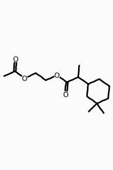 CC(=O)OCCOC(=O)C(C)C1CCCC(C)(C)C1